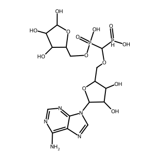 Nc1ncnc2c1ncn2C1OC(COC([PH](=O)O)P(=O)(O)OCC2OC(O)C(O)C2O)C(O)C1O